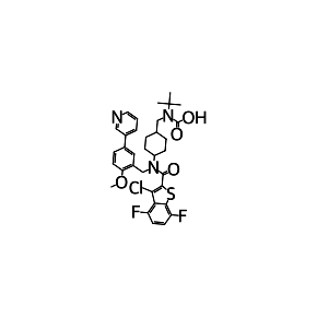 COc1ccc(-c2cccnc2)cc1CN(C(=O)c1sc2c(F)ccc(F)c2c1Cl)C1CCC(CN(C(=O)O)C(C)(C)C)CC1